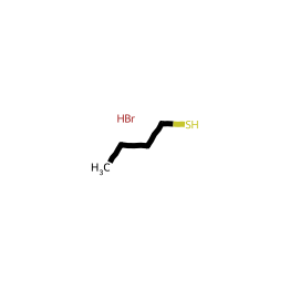 Br.CCCCS